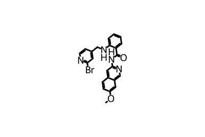 COc1ccc2cc(NC(=O)c3ccccc3NCc3ccnc(Br)c3)ncc2c1